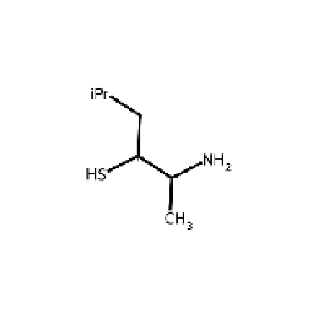 CC(C)C[C](S)C(C)N